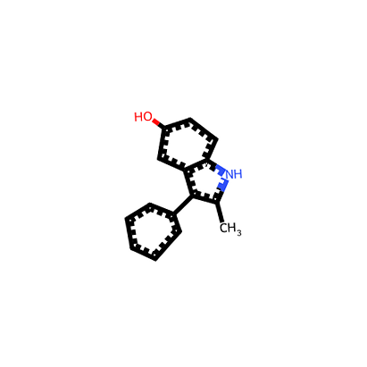 Cc1[nH]c2ccc(O)cc2c1-c1ccccc1